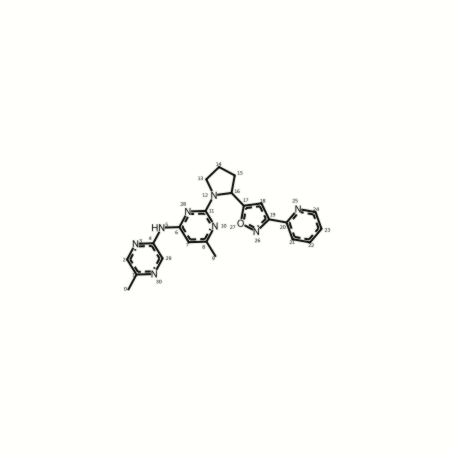 Cc1cnc(Nc2cc(C)nc(N3CCCC3c3cc(-c4ccccn4)no3)n2)cn1